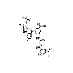 CC(C)C[C@H](NC(=O)[C@H](CCC(=O)O)NC(=O)[C@H](C)NC(=O)CNC(=O)[C@H](CO)NC(=O)[C@@H](N)C(C)C)C(=O)N[C@@H](CCC(=O)O)C(=O)O